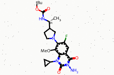 COc1c(N2CCC([C@@H](C)NC(=O)OC(C)(C)C)C2)c(F)cc2c(=O)n(N)c(=O)n(C3CC3)c12